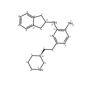 Nc1cnc(CC[C@@H]2CCCNC2)nc1NC1Cc2ccccc2C1